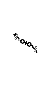 CCOC(=O)CCC1CCC(C(C)(C)C2CCC(OCC(=O)OC(C)(C)C)CC2)CC1